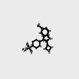 O=S(=O)(N1CCC(n2c(C3COC3)nc3ccc(Br)cc32)CC1)C(F)(F)F